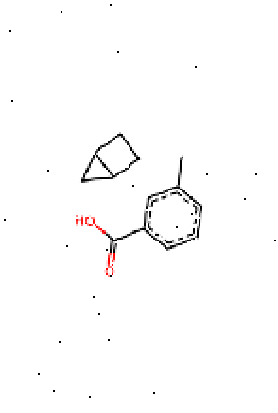 C1CC2CC12.Cc1cccc(C(=O)O)c1